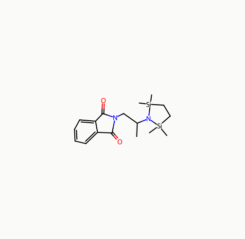 CC(CN1C(=O)c2ccccc2C1=O)N1[Si](C)(C)CC[Si]1(C)C